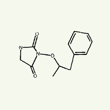 CC(Cc1ccccc1)ON1C(=O)C[N]C1=O